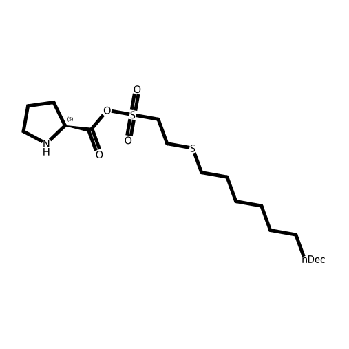 CCCCCCCCCCCCCCCCSCCS(=O)(=O)OC(=O)[C@@H]1CCCN1